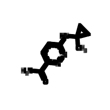 CC1(Nc2ccc(C(N)=O)nn2)CC1